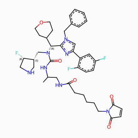 CC(CNC(=O)CCCCCN1C(=O)C=CC1=O)NC(=O)N(C[C@@H]1CNC[C@@H]1F)[C@@H](c1nc(-c2cc(F)ccc2F)cn1Cc1ccccc1)C1CCOCC1